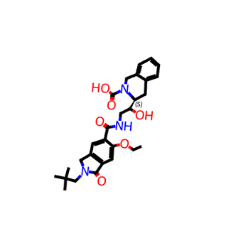 CCOc1cc2c(cc1C(=O)NCC(O)[C@@H]1Cc3ccccc3CN1C(=O)O)CN(CC(C)(C)C)C2=O